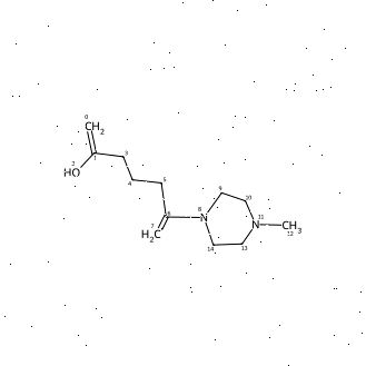 C=C(O)CCCC(=C)N1CCN(C)CC1